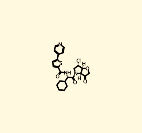 O=C(N[C@H](C(=O)N1C[C@H](Cl)[C@H]2OCC(=O)[C@H]21)C1CCCCC1)c1ccc(-c2ccncc2)s1